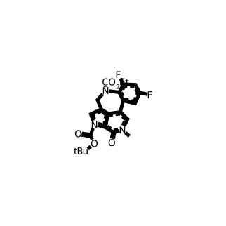 CCOC(=O)N1Cc2cn(C(=O)OC(C)(C)C)c3c(=O)n(C)cc(c23)-c2cc(F)cc(F)c21